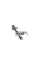 Nc1ccccc1NC(=O)C=Cc1ccc(C(NCCN2CC3CC2CO3)C(=O)Nc2ccc(C(F)(F)F)nc2)cc1